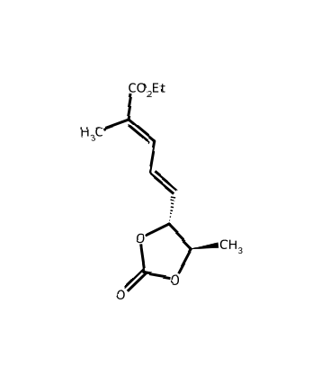 CCOC(=O)/C(C)=C/C=C/[C@H]1OC(=O)O[C@@H]1C